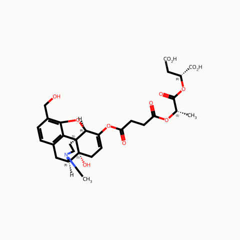 C[C@H](OC(=O)CCC(=O)OC1=CC[C@@]2(O)[C@H]3Cc4ccc(CO)c5c4[C@@]2(CCN3C)[C@H]1O5)C(=O)O[C@H](CC(=O)O)C(=O)O